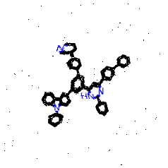 C1=C(c2ccc(-c3ccccc3)cc2)N=C(c2ccccc2)NC1c1cc(-c2ccc(-c3cccnc3)cc2)cc(-c2ccc3c(c2)c2ccccc2n3-c2ccccc2)c1